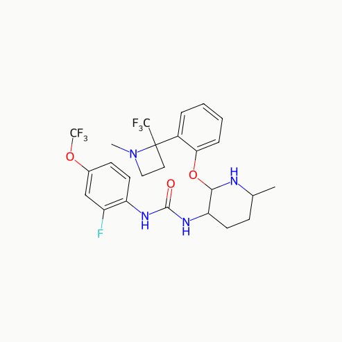 CC1CCC(NC(=O)Nc2ccc(OC(F)(F)F)cc2F)C(Oc2ccccc2C2(C(F)(F)F)CCN2C)N1